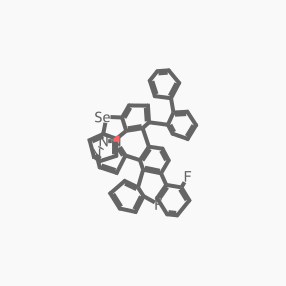 Fc1ccccc1-c1ccc(-c2c(-c3ccccc3-c3ccccc3)ccc3[se]c4ccccc4c23)c(-c2ccnnn2)c1-c1ccccc1F